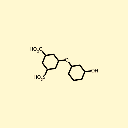 O=C(O)C1CC(OC2CCCC(O)C2)CC(S(=O)(=O)O)C1